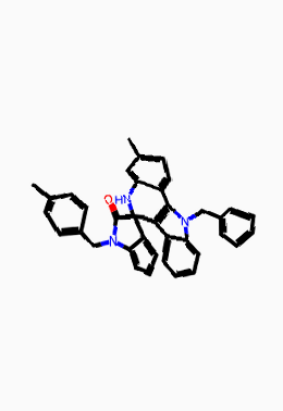 Cc1ccc(CN2C(=O)C3(Nc4cc(C)ccc4-c4c3c3ccccc3n4Cc3ccccc3)c3ccccc32)cc1